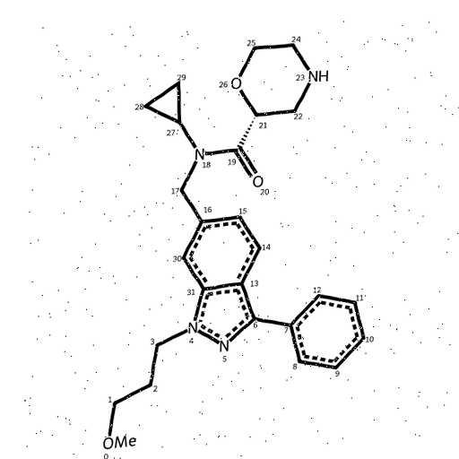 COCCCn1nc(-c2ccccc2)c2ccc(CN(C(=O)[C@H]3CNCCO3)C3CC3)cc21